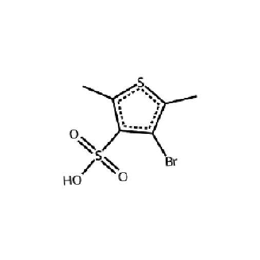 Cc1sc(C)c(S(=O)(=O)O)c1Br